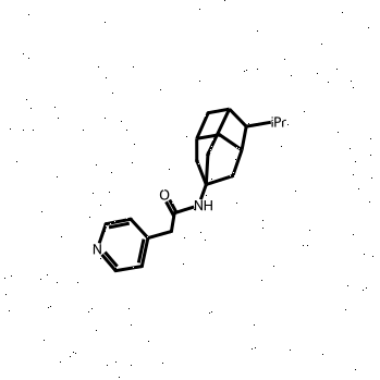 CC(C)C1C2CC3CC1CC(NC(=O)Cc1ccncc1)(C3)C2